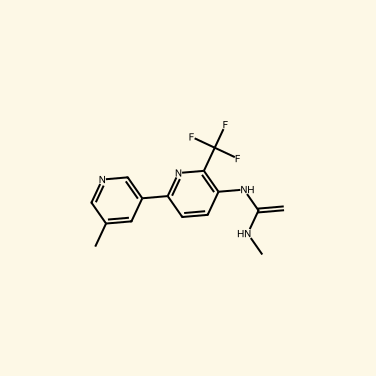 C=C(NC)Nc1ccc(-c2cncc(C)c2)nc1C(F)(F)F